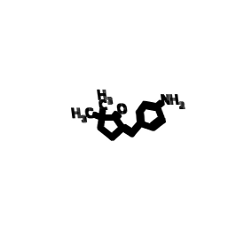 CC1(C)CCC(=Cc2ccc(N)cc2)C1=O